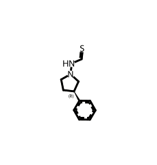 S=CNN1CC[C@H](c2ccccc2)C1